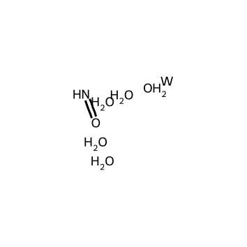 N=O.O.O.O.O.O.[W]